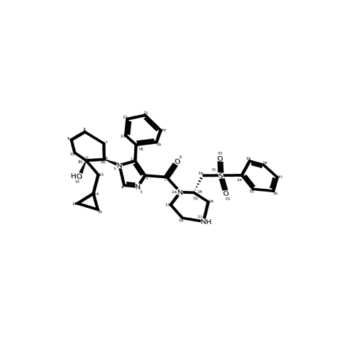 O=C(c1ncn([C@@H]2CCCC[C@@]2(O)CC2CC2)c1-c1ccccc1)N1CCNC[C@H]1CS(=O)(=O)c1ccccc1